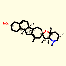 CC1=C2C[C@H]3[C@@H](CC=C4C[C@@H](O)CC[C@@]43C)[C@@H]2CC[C@@]2(C1)O[C@@H]1C[C@H](C)CN(C)[C@H]1[C@H]2C